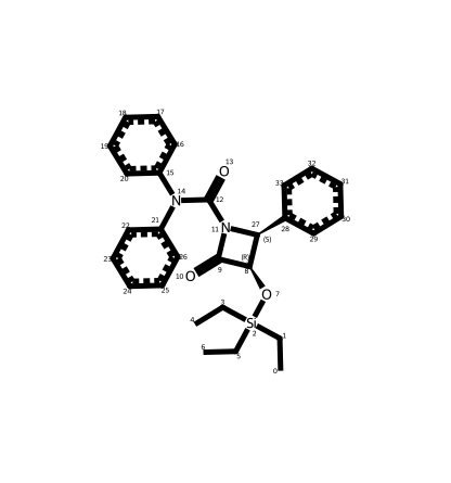 CC[Si](CC)(CC)O[C@H]1C(=O)N(C(=O)N(c2ccccc2)c2ccccc2)[C@H]1c1ccccc1